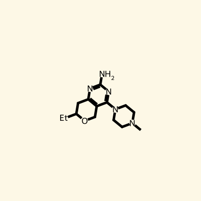 CCC1Cc2nc(N)nc(N3CCN(C)CC3)c2CO1